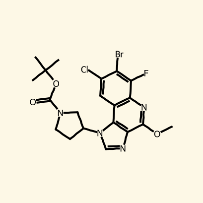 COc1nc2c(F)c(Br)c(Cl)cc2c2c1ncn2C1CCN(C(=O)OC(C)(C)C)C1